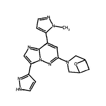 Cn1nccc1-c1cc(N2CC3CC(C2)O3)nn2c(-c3cc[nH]n3)cnc12